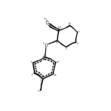 Cc1ccc(OC2CCCCC2=O)cc1